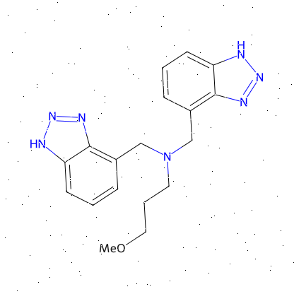 COCCCN(Cc1cccc2[nH]nnc12)Cc1cccc2[nH]nnc12